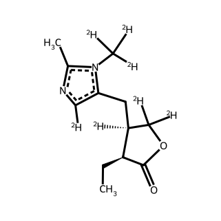 [2H]c1nc(C)n(C([2H])([2H])[2H])c1C[C@]1([2H])[C@H](CC)C(=O)OC1([2H])[2H]